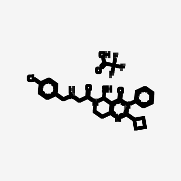 O=C(CNCc1ccc(Cl)cc1)N1CCc2nc(C3CCC3)n(-c3ccccc3)c(=O)c2C1S.O=C(O)C(F)(F)F